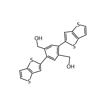 OCc1cc(-c2cc3sccc3s2)c(CO)cc1-c1cc2sccc2s1